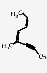 CC#C/C(C)=C\C=C/C